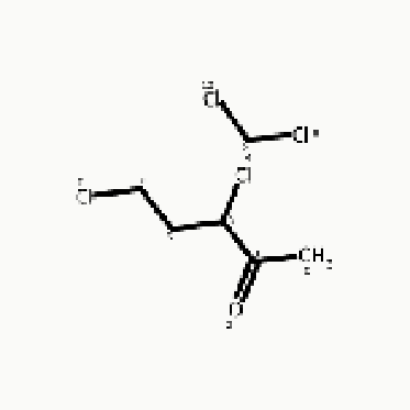 CC(=O)C(Cl)CCCl.ClCCl